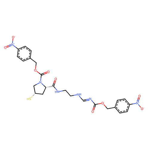 O=C(N=CNCCNC(=O)[C@@H]1C[C@H](S)CN1C(=O)OCc1ccc([N+](=O)[O-])cc1)OCc1ccc([N+](=O)[O-])cc1